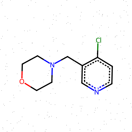 Clc1ccncc1CN1CCOCC1